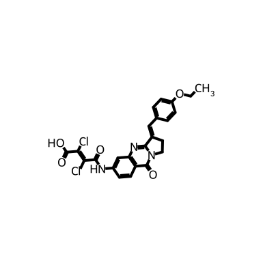 CCOc1ccc(C=C2CCn3c2nc2cc(NC(=O)C(Cl)=C(Cl)C(=O)O)ccc2c3=O)cc1